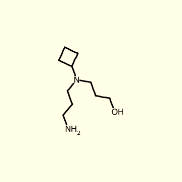 NCCCN(CCCO)C1CCC1